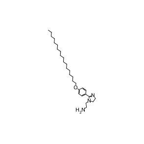 CCCCCCCCCCCCCCCCCCOc1ccc(C2=NCCN2CCN)cc1